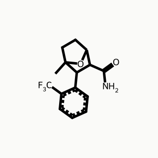 CC12CCC(O1)C(C(N)=O)C2c1ccccc1C(F)(F)F